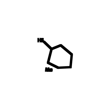 SC1CCCCC1.[Mo]